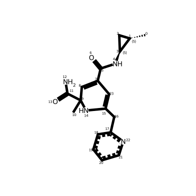 C[C@H]1C[C@@H]1NC(=O)C1=CC(C)(C(N)=O)NC(Cc2ccccn2)=C1